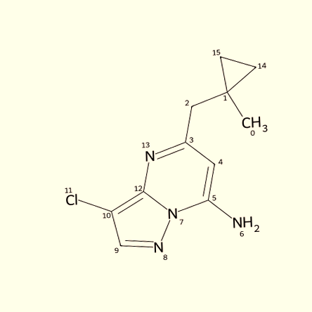 CC1(Cc2cc(N)n3ncc(Cl)c3n2)CC1